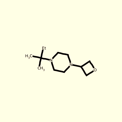 CCC(C)(C)N1CCN(C2COC2)CC1